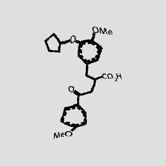 COc1ccc(C(=O)CC(Cc2ccc(OC)c(OC3CCCC3)c2)C(=O)O)cc1